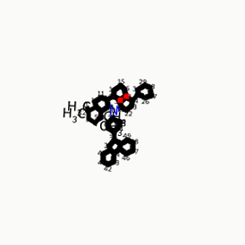 CC1(C)CCC(C)(C)c2c1ccc(-c1ccccc1)c2N(c1ccc(-c2ccccc2)cc1)c1ccc(-c2cc3ccccc3c3ccccc23)cc1